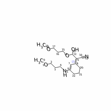 COCCCNC1=C/C(=C(/C#N)C(O)OCCCOC)CCC1